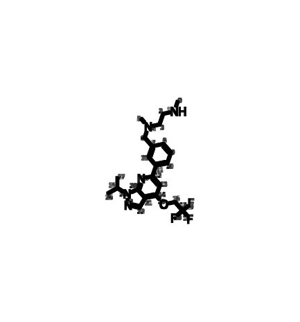 CNCCN(C)Cc1cccc(-c2cc(OCC(F)(F)F)c3cnn(C(C)C)c3n2)c1